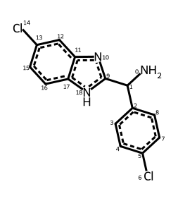 NC(c1ccc(Cl)cc1)c1nc2cc(Cl)ccc2[nH]1